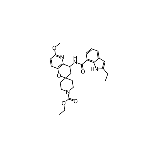 CCOC(=O)N1CCC2(CC1)CC(NC(=O)c1cccc3cc(CC)[nH]c13)c1nc(OC)ccc1O2